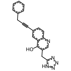 Oc1c(Cc2nnn[nH]2)cnc2ccc(C#CCc3ccccc3)cc12